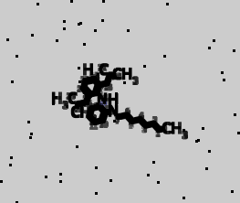 CCCCCCCCNC1=CCCC/C1=N\c1c(CC(C)C)cccc1CC(C)C